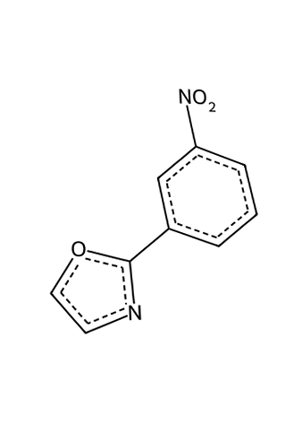 O=[N+]([O-])c1cccc(-c2ncco2)c1